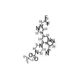 CC(C)(C)OC(=O)N1CCN(c2cc(-c3cnn(CC(F)F)c3)cn3ncc(C#N)c23)CC1